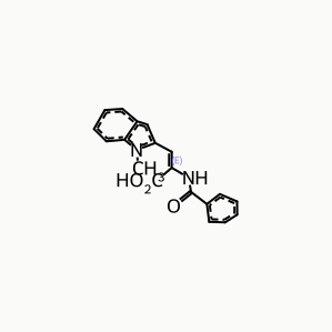 Cn1c(/C=C(/NC(=O)c2ccccc2)C(=O)O)cc2ccccc21